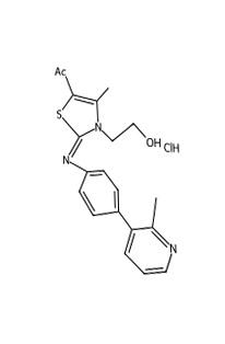 CC(=O)c1sc(=Nc2ccc(-c3cccnc3C)cc2)n(CCO)c1C.Cl